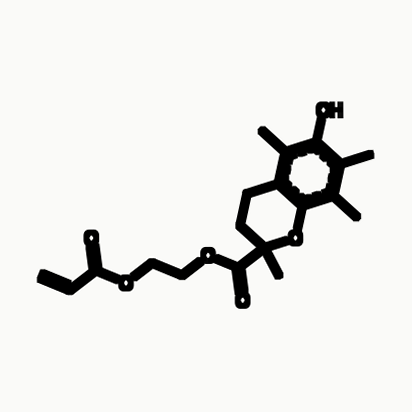 C=CC(=O)OCCOC(=O)C1(C)CCc2c(C)c(O)c(C)c(C)c2O1